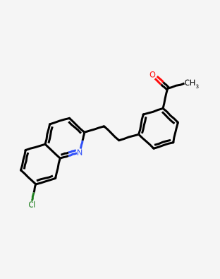 CC(=O)c1cccc(CCc2ccc3ccc(Cl)cc3n2)c1